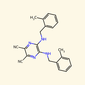 Cc1ccccc1CNc1nc(C#N)c(C#N)nc1NCc1ccccc1C